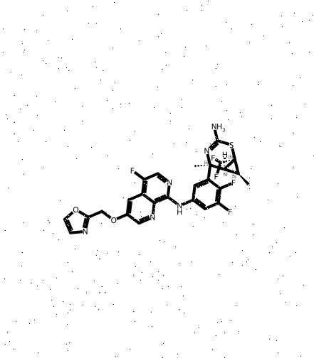 C[C@H]1[C@@H]2[C@@]1(C(F)F)SC(N)=N[C@]2(C)c1cc(Nc2ncc(F)c3cc(OCc4ncco4)cnc23)cc(F)c1F